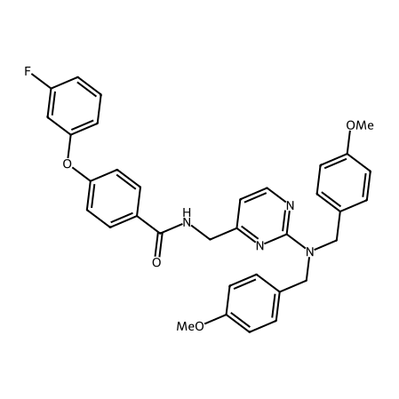 COc1ccc(CN(Cc2ccc(OC)cc2)c2nccc(CNC(=O)c3ccc(Oc4cccc(F)c4)cc3)n2)cc1